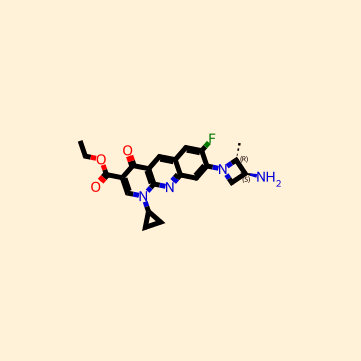 CCOC(=O)c1cn(C2CC2)c2nc3cc(N4C[C@H](N)[C@H]4C)c(F)cc3cc2c1=O